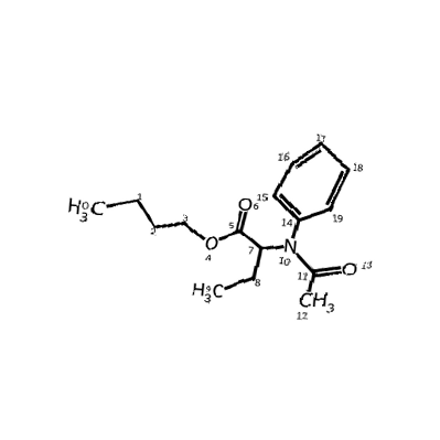 CCCCOC(=O)C(CC)N(C(C)=O)c1ccccc1